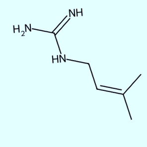 CC(C)=CCNC(=N)N